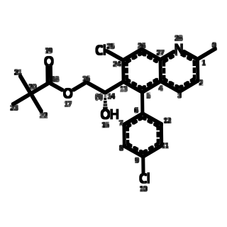 Cc1ccc2c(-c3ccc(Cl)cc3)c([C@H](O)COC(=O)C(C)(C)C)c(Cl)cc2n1